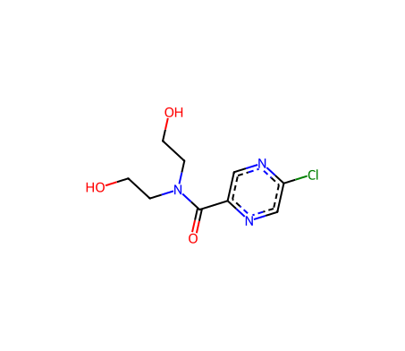 O=C(c1cnc(Cl)cn1)N(CCO)CCO